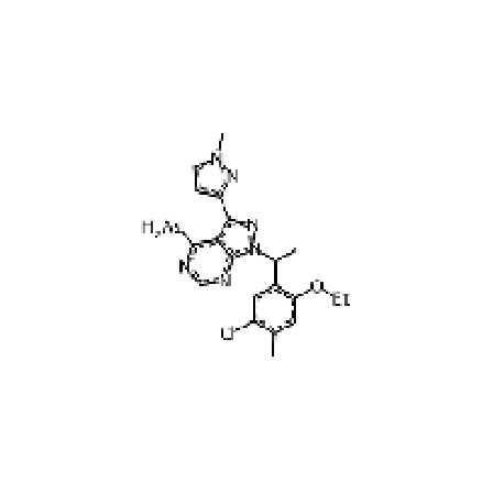 CCOc1cc(C)c(Cl)cc1C(C)n1nc(-c2ccn(C)n2)c2c([AsH2])ncnc21